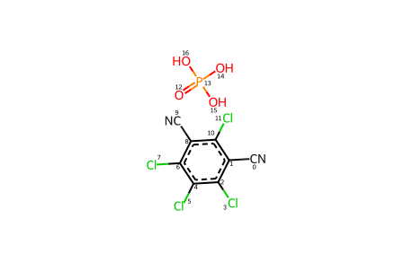 N#Cc1c(Cl)c(Cl)c(Cl)c(C#N)c1Cl.O=P(O)(O)O